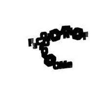 COc1ccc(COCC(OC(=O)N2CCC(c3ccn(-c4ccc(F)cc4)n3)CC2)C(F)(F)F)cc1